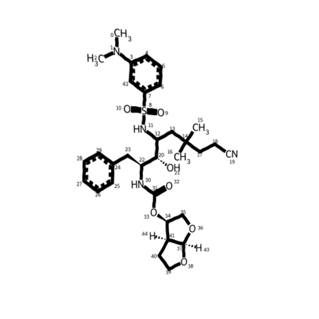 CN(C)c1cccc(S(=O)(=O)NC(CC(C)(C)CCC#N)[C@H](O)[C@H](Cc2ccccc2)NC(=O)O[C@H]2CO[C@H]3OCC[C@H]32)c1